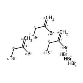 Br.Br.Br.C=C(Br)C[Te].C=C(Br)C[Te].C=C(Br)C[Te]